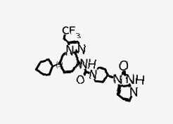 O=C(N[C@@H]1CC[C@@H](C2CCCCC2)Cn2c(CC(F)(F)F)cnc21)N1CCC(n2c(=O)[nH]c3ncccc32)CC1